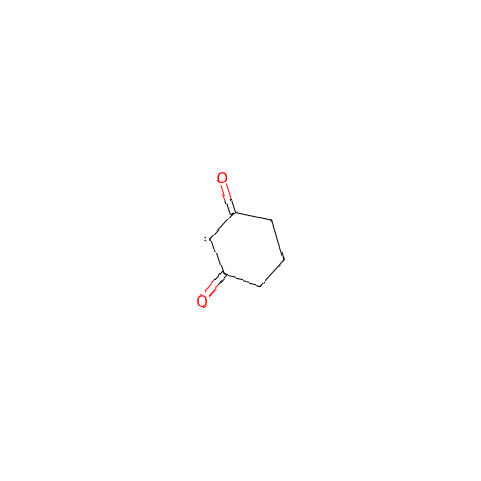 O=C1[C]C(=O)CCC1